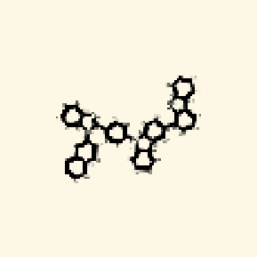 c1ccc2cc(-n3c(-c4ccc(-n5c6ccccc6c6cc(-c7cccc8c7sc7ccccc78)ccc65)cc4)nc4ccccc43)ccc2c1